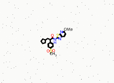 COc1ccc2nc(NC(=O)C(CC3CCCC3)c3ccc(S(C)(=O)=O)cc3)sc2n1